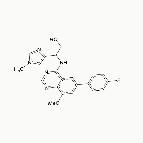 COc1cc(-c2ccc(F)cc2)cc2c(NC(CO)c3cn(C)cn3)ncnc12